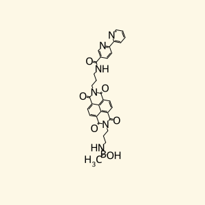 CB(O)NCCCN1C(=O)c2ccc3c4c(ccc(c24)C1=O)C(=O)N(CCCNC(=O)c1ccc(-c2ccccn2)nc1)C3=O